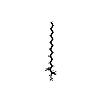 CCCCCCCCCCCCCCC(=O)C(=O)N=O